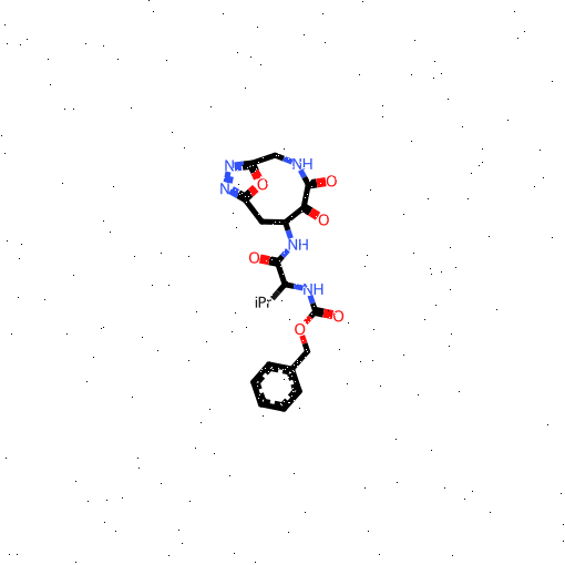 CC(C)C(NC(=O)OCc1ccccc1)C(=O)NC1Cc2nnc(o2)CNC(=O)C1=O